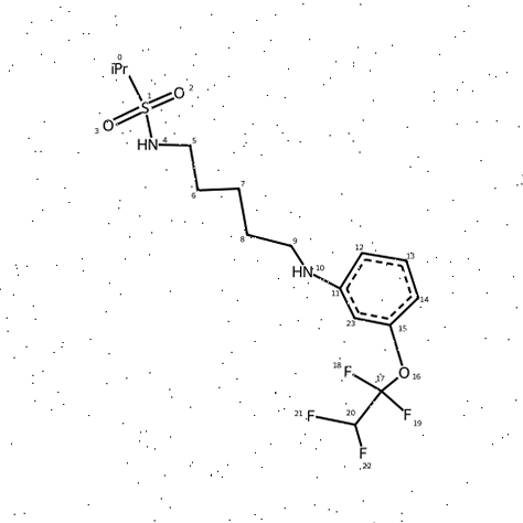 CC(C)S(=O)(=O)NCCCCCNc1cccc(OC(F)(F)C(F)F)c1